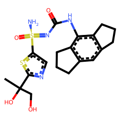 CC(O)(CO)c1ncc([S@](N)(=O)=NC(=O)Nc2c3c(cc4c2CCC4)CCC3)s1